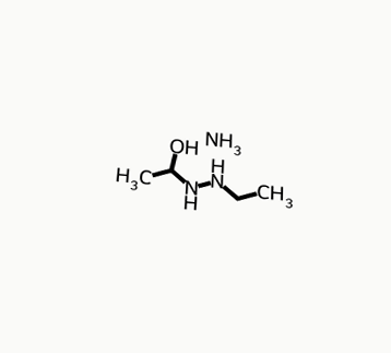 CCNNC(C)O.N